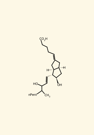 CCCCCC(C)C(O)/C=C/[C@@H]1[C@H]2C/C(=C\CCCC(=O)O)C[C@H]2C[C@H]1O